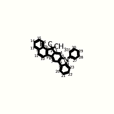 CC1(C)c2cc3c(cc2-c2ccc4ccccc4c21)c1ccccc1n3-c1ccccc1